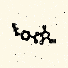 [N-]=[N+]=Nc1ccc(C(=O)ON2C(=O)CC(O)C2=O)cc1